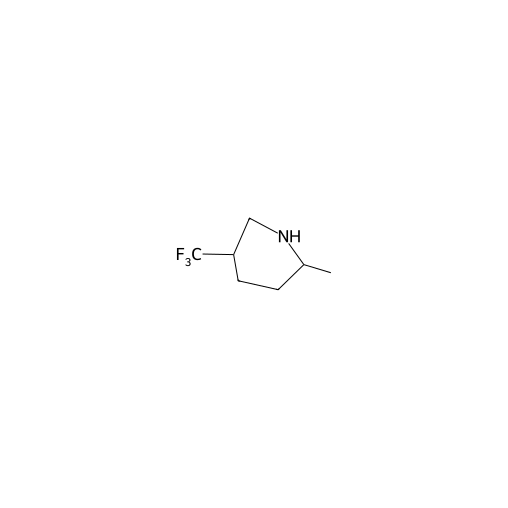 CC1CCC(C(F)(F)F)CN1